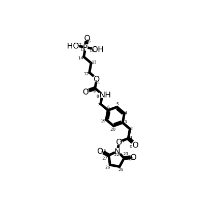 O=C(Cc1ccc(CNC(=O)OCCCP(=O)(O)O)cc1)ON1C(=O)CCC1=O